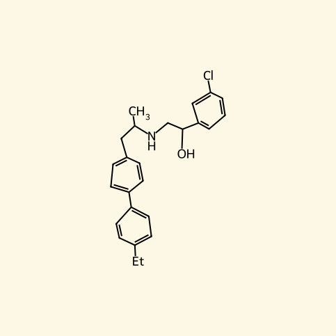 CCc1ccc(-c2ccc(CC(C)NCC(O)c3cccc(Cl)c3)cc2)cc1